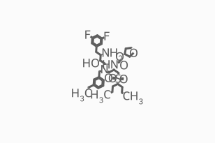 CCCC(CCC)S(=O)(=O)CC(NC(=O)O[C@@H]1CCOC1)C(=O)N(Cc1cccc(CC)c1)C[C@@H](O)[C@@H](N)Cc1cc(F)cc(F)c1